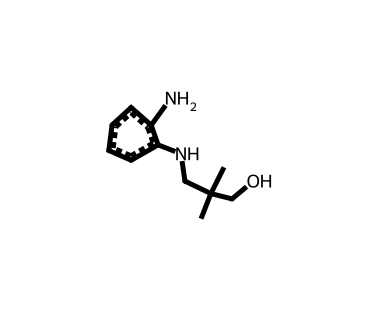 CC(C)(CO)CNc1ccccc1N